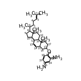 CC(C)=CCCC(C)C1CCC2C3C=CC4CC(Oc5ccc(N)cc5N)CCC4(C)C3CCC12C